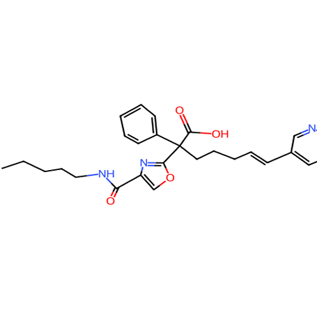 CCCCCNC(=O)c1coc(C(CCCC=Cc2cccnc2)(C(=O)O)c2ccccc2)n1